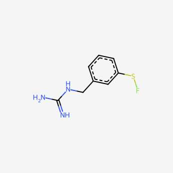 N=C(N)NCc1cccc(SF)c1